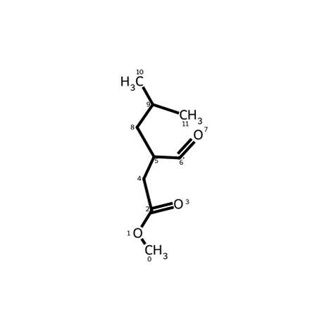 COC(=O)CC([C]=O)CC(C)C